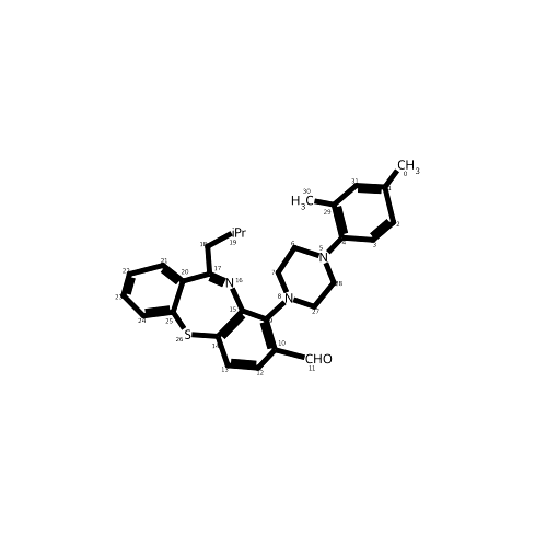 Cc1ccc(N2CCN(c3c(C=O)ccc4c3N=C(CC(C)C)c3ccccc3S4)CC2)c(C)c1